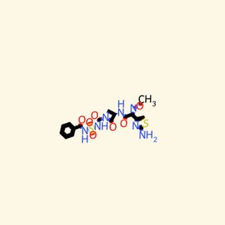 CON=C(C(=O)N[C@H]1CN(C(=O)NS(=O)(=O)NC(=O)c2ccccc2)C1=O)c1csc(N)n1